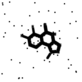 Cn1nnc2[nH]c(=O)c3c(F)c(F)ccc3c21